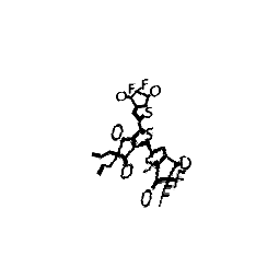 C=CCC1(CC=C)C(=O)c2c(-c3cc4c(s3)C(=O)C(F)(F)C4=O)sc(-c3cc4c(s3)C(=O)C(F)(F)C4=O)c2C1=O